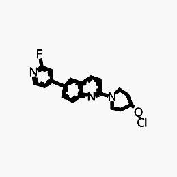 Fc1cc(-c2ccc3nc(N4CCC(OCl)CC4)ccc3c2)ccn1